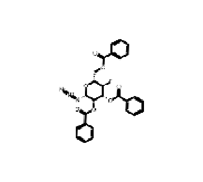 [N-]=[N+]=N[C@@H]1O[C@H](COC(=O)c2ccccc2)[C@@H](F)[C@H](OC(=O)c2ccccc2)[C@H]1OC(=O)c1ccccc1